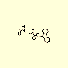 CC(=O)NCCCNC(=O)OCC1c2ccccc2-c2ccccc21